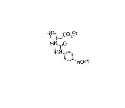 CCCCCCCCc1ccc(NC(=O)NC2(CC(=O)OCC)C[N+](C)(C)C2)cc1.[I-]